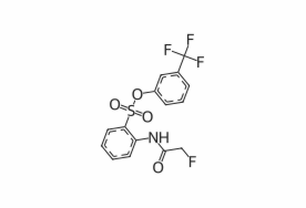 O=C(CF)Nc1ccccc1S(=O)(=O)Oc1cccc(C(F)(F)F)c1